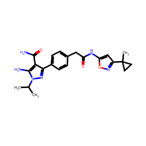 CC(C)n1nc(-c2ccc(CC(=O)Nc3cc(C4(C)CC4)no3)cc2)c(C(N)=O)c1N